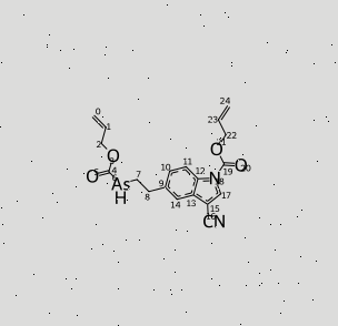 C=CCOC(=O)[AsH]CCc1ccc2c(c1)c(C#N)cn2C(=O)OCC=C